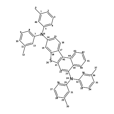 Cc1cccc(N(c2cccc(C)c2)c2ccc3c(c2)sc2cc(N(c4cccc(C)c4)c4cccc(C)c4)c4ccccc4c23)c1